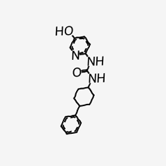 O=C(Nc1ccc(O)cn1)NC1CCC(c2ccccc2)CC1